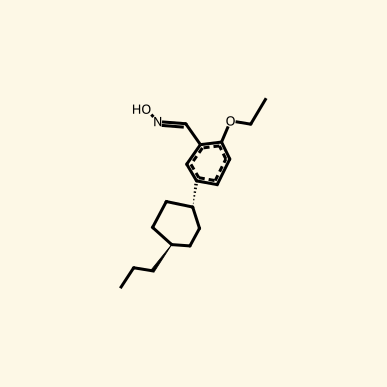 CCC[C@H]1CC[C@H](c2ccc(OCC)c(C=NO)c2)CC1